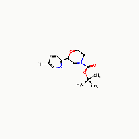 [2H]c1ccc(C2CN(C(=O)OC(C)(C)C)CCO2)nc1